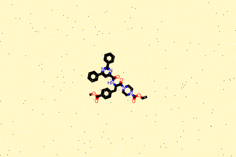 CCOC(=O)N1CCN(C(=O)C(Cc2ccc(C(=O)OC)cc2)NC(=O)c2cc(-c3ccccc3)nc(-c3ccccc3)n2)CC1